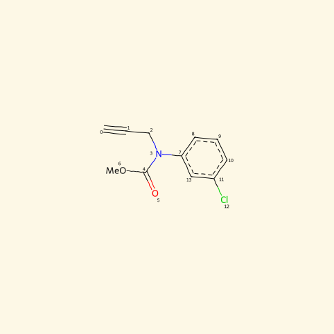 C#CCN(C(=O)OC)c1cccc(Cl)c1